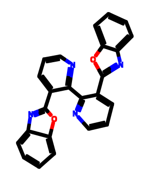 c1cnc(-c2ncccc2-c2nc3ccccc3o2)c(-c2nc3ccccc3o2)c1